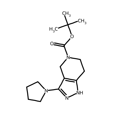 CC(C)(C)OC(=O)N1CCc2[nH]nc(N3CCCC3)c2C1